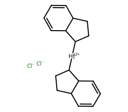 C1=CC2CC[CH]([Hf+2][CH]3CCC4C=CC=CC43)C2C=C1.[Cl-].[Cl-]